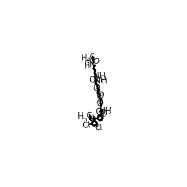 CCNC(=O)NCCCCNC(=O)NCCOCCOCCOCCNS(=O)(=O)c1cccc([C@@H]2CN(C)Cc3c(Cl)cc(Cl)cc32)c1